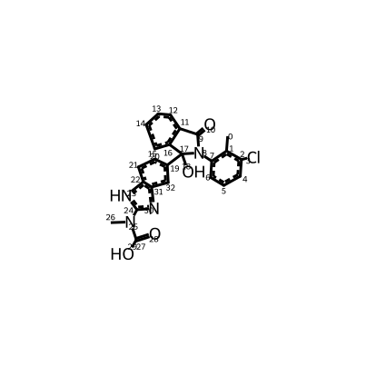 Cc1c(Cl)cccc1N1C(=O)c2ccccc2C1(O)c1ccc2[nH]c(N(C)C(=O)O)nc2c1